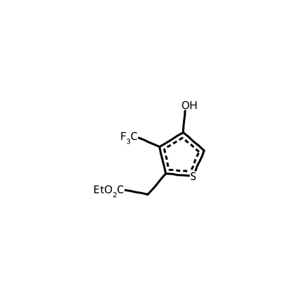 CCOC(=O)Cc1scc(O)c1C(F)(F)F